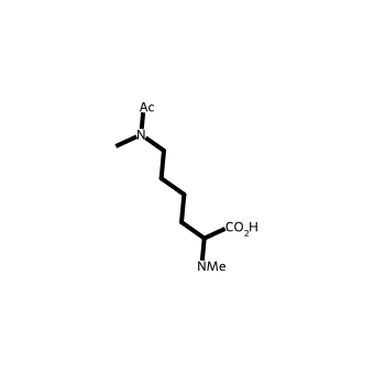 CNC(CCCCN(C)C(C)=O)C(=O)O